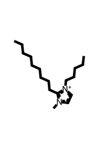 CCCCCCCCCc1n(C)cc[n+]1CCCCC